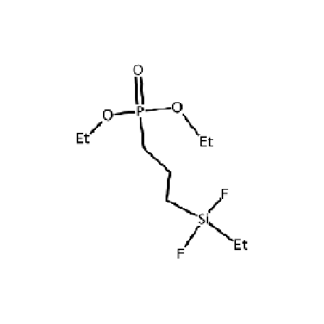 CCOP(=O)(CCC[Si](F)(F)CC)OCC